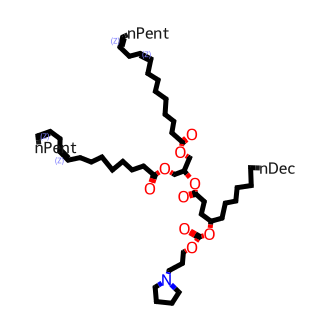 CCCCC/C=C\C/C=C\CCCCCCCC(=O)OCC(COC(=O)CCCCCCC/C=C\C/C=C\CCCCC)OC(=O)CCC(CCCCCCCCCCCCCCCC)OC(=O)OCCCN1CCCC1